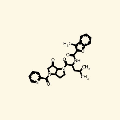 Cc1c(C(=O)NC(CC(C)C)C(=O)N2CCC3C2C(=O)CN3C(=O)c2ccccn2)oc2ccccc12